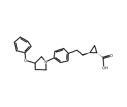 O=C(O)[C@H]1C[C@@H]1CCc1ccc(N2CCC(Oc3ccccc3)C2)cc1